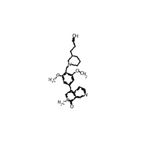 C#CCCC1CCCN(Cc2c(OC)cc(-c3cn(C)c(=O)c4cnccc34)cc2OC)C1